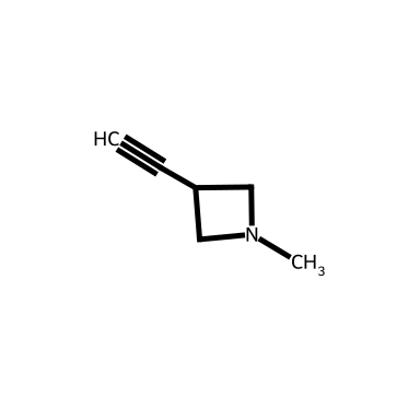 C#CC1CN(C)C1